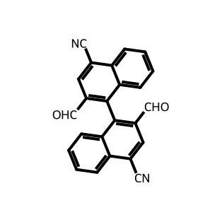 N#Cc1cc(C=O)c(-c2c(C=O)cc(C#N)c3ccccc23)c2ccccc12